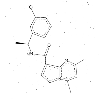 Cc1cc(C)n2ccc(C(=O)N[C@@H](C)c3cccc(Cl)c3)c2n1